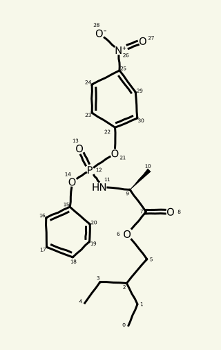 CCC(CC)COC(=O)[C@H](C)NP(=O)(Oc1ccccc1)Oc1ccc([N+](=O)[O-])cc1